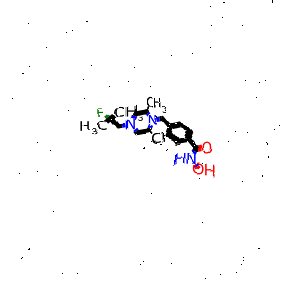 C[C@@H]1CN(CC(C)(C)F)C[C@H](C)N1Cc1ccc(C(=O)NO)cc1